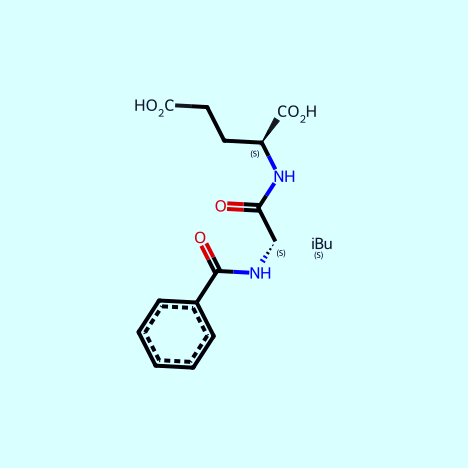 CC[C@H](C)[C@H](NC(=O)c1ccccc1)C(=O)N[C@@H](CCC(=O)O)C(=O)O